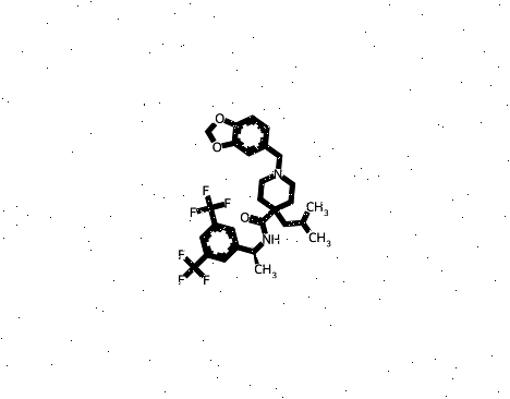 CC(C)CC1(C(=O)N[C@@H](C)c2cc(C(F)(F)F)cc(C(F)(F)F)c2)CCN(Cc2ccc3c(c2)OCO3)CC1